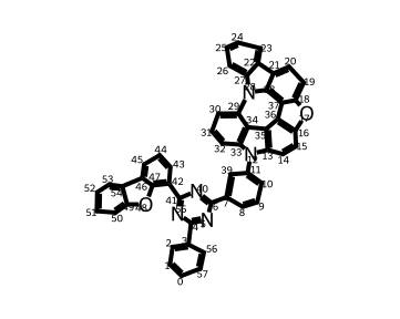 c1ccc(-c2nc(-c3cccc(-n4c5ccc6oc7ccc8c9ccccc9n9c%10cccc4c%10c5c6c7c89)c3)nc(-c3cccc4c3oc3ccccc34)n2)cc1